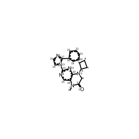 CN1C(=O)CN(C2CCC2)c2nc(-n3ccnc3-c3ccccc3)ncc21